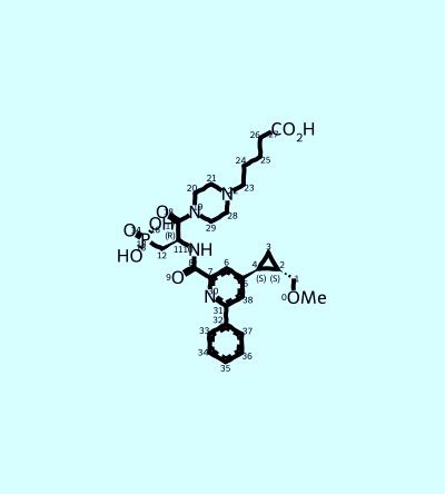 COC[C@H]1C[C@@H]1c1cc(C(=O)N[C@@H](CP(=O)(O)O)C(=O)N2CCN(CCCCC(=O)O)CC2)nc(-c2ccccc2)c1